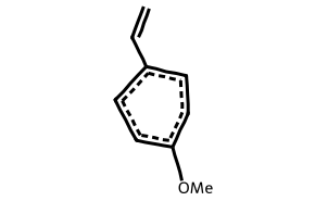 [CH2]Oc1ccc(C=C)cc1